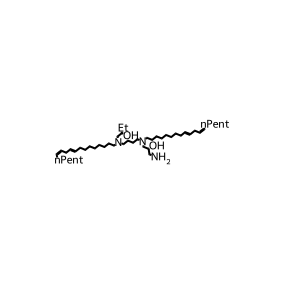 CCCCC/C=C\C/C=C/CCCCCCCCN(CCCCN(CCCCCCCC/C=C/C/C=C\CCCCC)CC(O)CN)CC(O)CC